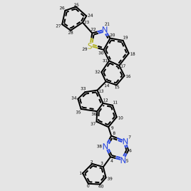 c1ccc(-c2ncnc(-c3ccc4c(-c5ccc6ccc7nc(-c8ccccc8)sc7c6c5)cccc4c3)n2)cc1